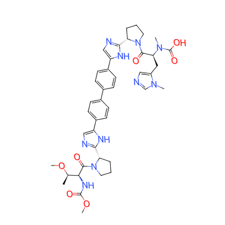 COC(=O)N[C@H](C(=O)N1CCC[C@H]1c1ncc(-c2ccc(-c3ccc(-c4cnc([C@@H]5CCCN5C(=O)[C@H](Cc5cncn5C)N(C)C(=O)O)[nH]4)cc3)cc2)[nH]1)[C@@H](C)OC